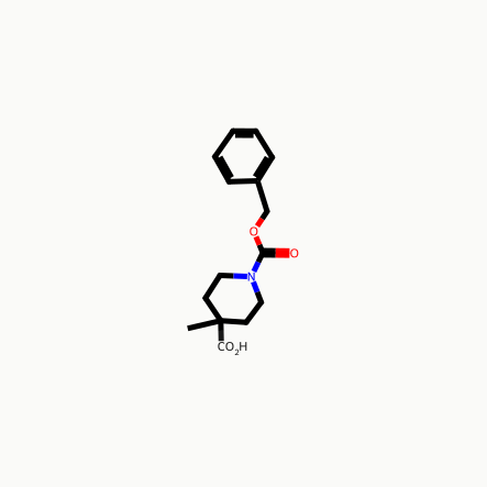 CC1(C(=O)O)CCN(C(=O)OCc2ccccc2)CC1